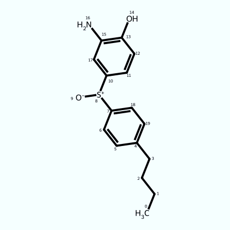 CCCCc1ccc([S+]([O-])c2ccc(O)c(N)c2)cc1